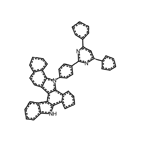 c1ccc(-c2cc(-c3ccccc3)nc(-c3ccc(-n4c5c6ccccc6ccc5c5c6c7ccccc7[nH]c6c6ccccc6c54)cc3)n2)cc1